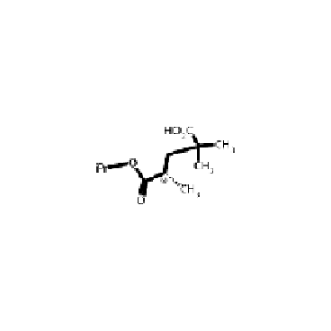 CC(C)OC(=O)[C@@H](C)CC(C)(C)C(=O)O